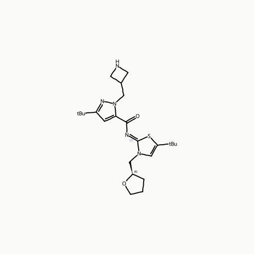 CC(C)(C)c1cc(C(=O)/N=c2\sc(C(C)(C)C)cn2C[C@H]2CCCO2)n(CC2CNC2)n1